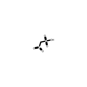 O=P(=O)CS(=O)(=O)O